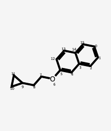 c1ccc2cc(OCCC3CC3)ccc2c1